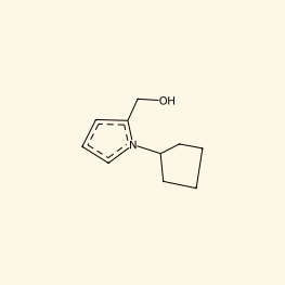 OCc1cccn1C1CCCC1